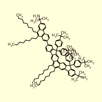 CCCCCCCCc1c(CCCCCCCC)c2cc(C(C)(C)N)ccc2c2ccc(-c3ccc4c(c3)C(c3ccc(C(C)(C)C)cc3)(c3ccc(C(C)(C)C)cc3)c3cc5c(cc3-4)c(CCCCCCCC)c(CCCCCCCC)c3cc4c(cc35)C(c3ccc(C(C)(C)C)cc3)(c3ccc(C(C)(C)C)cc3)c3cc(C(C)(C)N)ccc3-4)cc12